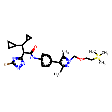 Cc1nn(COCCS(C)(C)C)c(C)c1-c1ccc(NC(=O)C(c2nnc(Br)[nH]2)C(C2CC2)C2CC2)cc1